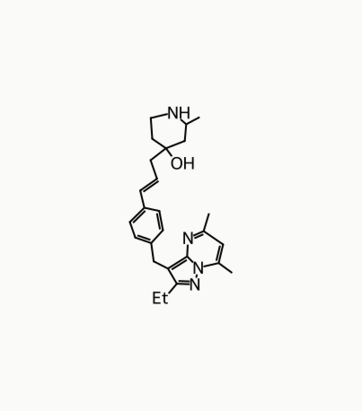 CCc1nn2c(C)cc(C)nc2c1Cc1ccc(C=CCC2(O)CCNC(C)C2)cc1